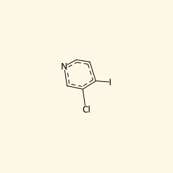 Clc1cnccc1I